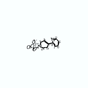 [O-][Cl+2]([O-])ON1CC=C(c2ccccn2)CC1